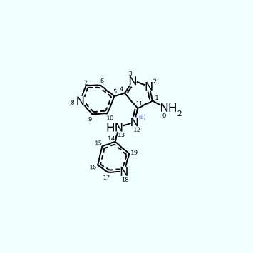 NC1=NN=C(c2ccncc2)/C1=N\Nc1cccnc1